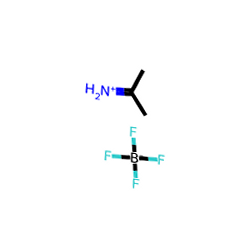 CC(C)=[NH2+].F[B-](F)(F)F